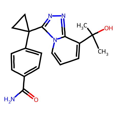 CC(C)(O)c1cccn2c(C3(c4ccc(C(N)=O)cc4)CC3)nnc12